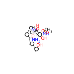 CC(C)(Cc1cccc(C(Cc2ccc(-c3ccccc3O)cc2)C(N)=O)c1)NC[C@H](O)c1ccc(O)c(NS(C)(=O)=O)c1